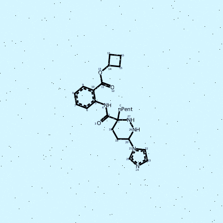 CCCCCC1(C(=O)Nc2ccccc2C(=O)OC2CCC2)CCC(n2ccnc2)NN1